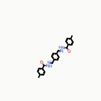 Cc1ccc(C(=O)N/N=C/c2ccc(/C=N/NC(=O)c3ccc(C)cc3)cc2)cc1